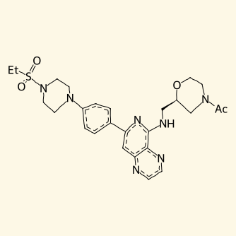 CCS(=O)(=O)N1CCN(c2ccc(-c3cc4nccnc4c(NC[C@@H]4CN(C(C)=O)CCO4)n3)cc2)CC1